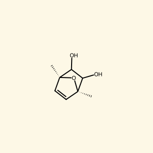 C[C@]12C=C[C@](C)(O1)C(O)C2O